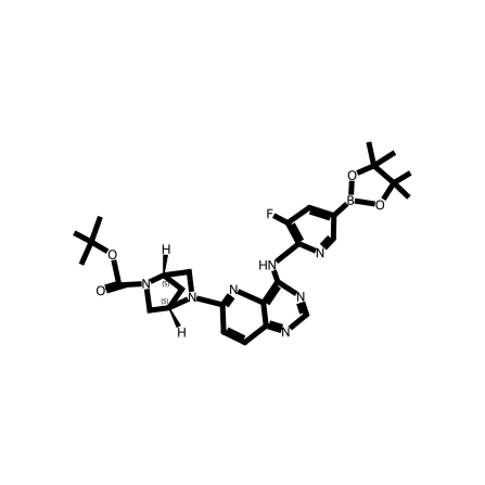 CC(C)(C)OC(=O)N1C[C@@H]2C[C@H]1CN2c1ccc2ncnc(Nc3ncc(B4OC(C)(C)C(C)(C)O4)cc3F)c2n1